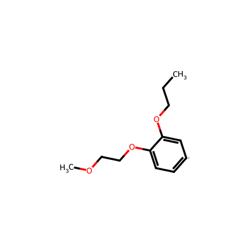 CCCOc1c[c]ccc1OCCOC